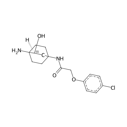 NC12CCC(NC(=O)COc3ccc(Cl)cc3)(CC1)C[C@@H]2O